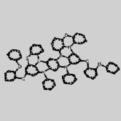 c1ccc(Oc2ccccc2Oc2cc3c4c(c2)N(c2ccccc2)c2cc5c(cc2B4c2ccccc2S3)B2c3cccc4c3N(c3ccccc3O4)c3cc(Oc4ccccc4Oc4ccccc4)cc(c32)N5c2ccccc2)cc1